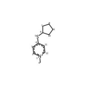 C[n+]1ccc(SC2CCCC2)cc1